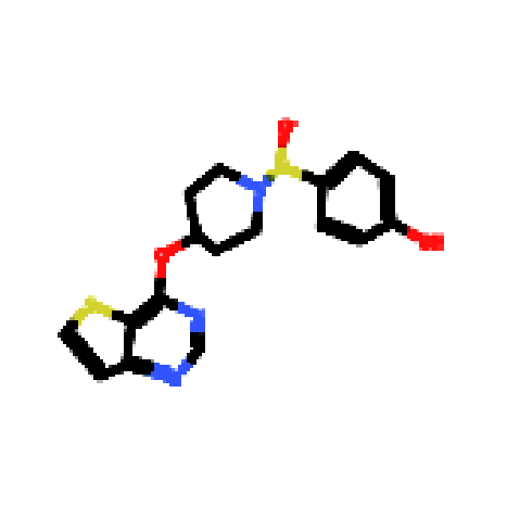 [O-][S+](c1ccc(O)cc1)N1CCC(Oc2ncnc3ccsc23)CC1